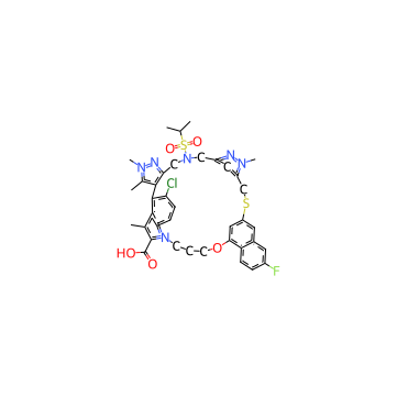 Cc1c(C(=O)O)n2c3ccc(Cl)c(c13)-c1c(nn(C)c1C)CN(S(=O)(=O)C(C)C)Cc1cc(n(C)n1)CSc1cc(c3ccc(F)cc3c1)OCCC2